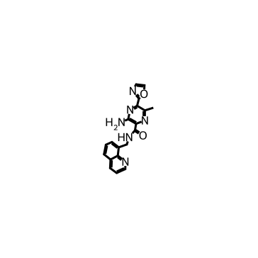 Cc1nc(C(=O)NCc2cccc3cccnc23)c(N)nc1-c1ncco1